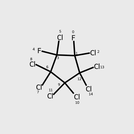 FC1(Cl)C(F)(Cl)C(Cl)(Cl)C(Cl)(Cl)C1(Cl)Cl